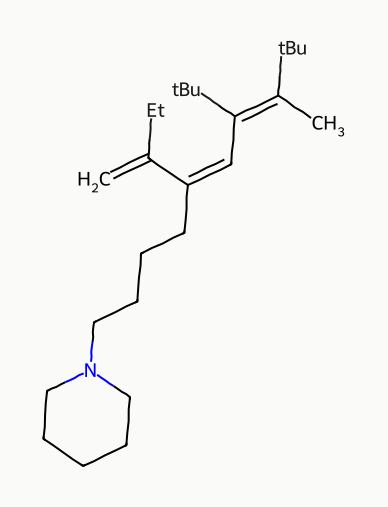 C=C(CC)/C(=C\C(=C(/C)C(C)(C)C)C(C)(C)C)CCCCN1CCCCC1